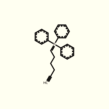 C#CCCCC=P(c1ccccc1)(c1ccccc1)c1ccccc1